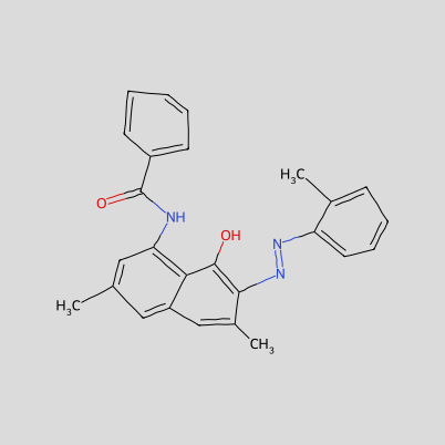 Cc1cc(NC(=O)c2ccccc2)c2c(O)c(N=Nc3ccccc3C)c(C)cc2c1